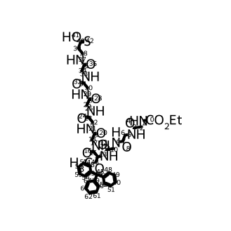 CCOC(=O)NCC(=O)NCC(=O)NCC(=O)NC(C(=O)NCC(=O)NCC(=O)NCC(=O)NCC(=O)NCC(=O)NCCC(O)=S)[C@@H](C)OC(c1ccccc1)(c1ccccc1)c1ccccc1